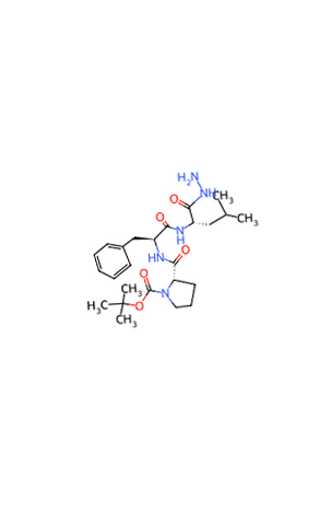 CC(C)C[C@H](NC(=O)[C@H](Cc1ccccc1)NC(=O)[C@@H]1CCCN1C(=O)OC(C)(C)C)C(=O)NN